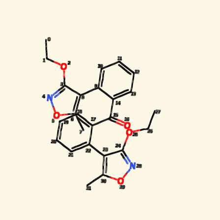 CCOc1noc(C)c1-c1ccccc1C(=O)c1ccccc1-c1c(OCC)noc1C